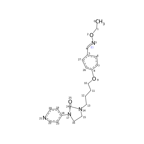 CCO/N=C/c1ccc(OCCCCN2CCN(c3ccncc3)C2=O)cc1